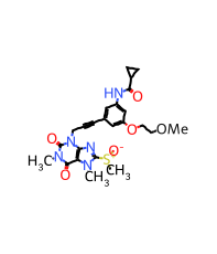 COCCOc1cc(C#CCn2c(=O)n(C)c(=O)c3c2nc([S+](C)[O-])n3C)cc(NC(=O)C2CC2)c1